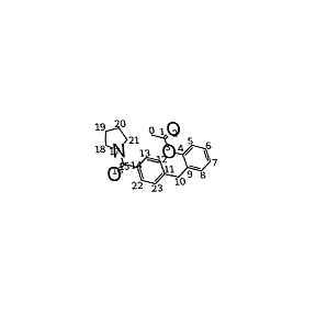 CC(=O)Oc1ccccc1Cc1ccc(C(=O)N2CCCC2)cc1